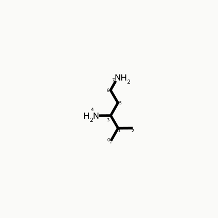 [CH2]C(C)C(N)CCN